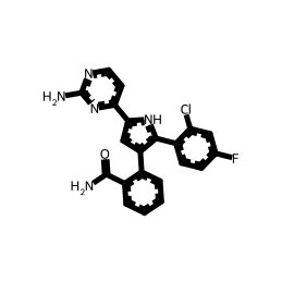 NC(=O)c1ccccc1-c1cc(-c2ccnc(N)n2)[nH]c1-c1ccc(F)cc1Cl